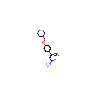 NC(=O)/C=C(/c1ccc(OCC2CCCCC2)cc1)C(F)(F)F